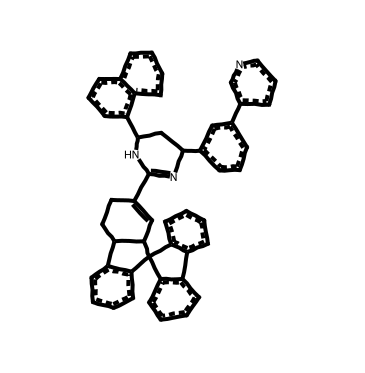 C1=C(C2=NC(c3cccc(-c4cccnc4)c3)CC(c3cccc4ccccc34)N2)CCC2c3ccccc3C3(c4ccccc4-c4ccccc43)C12